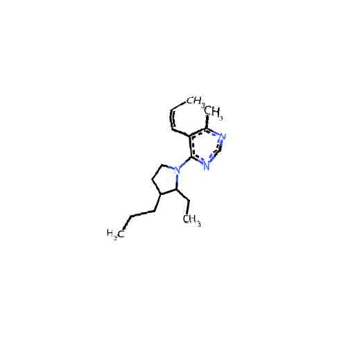 C/C=C\c1c(C)ncnc1N1CCC(CCC)C1CC